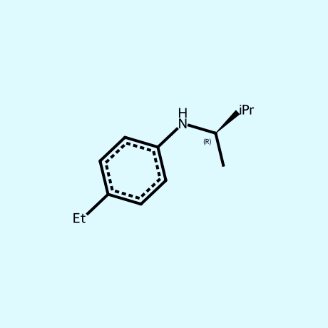 CCc1ccc(N[C@H](C)C(C)C)cc1